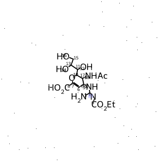 CCOC(=O)/N=C(\N)N[C@H]1C=C(C(=O)O)OC(C(O)C(O)CO)C1NC(C)=O